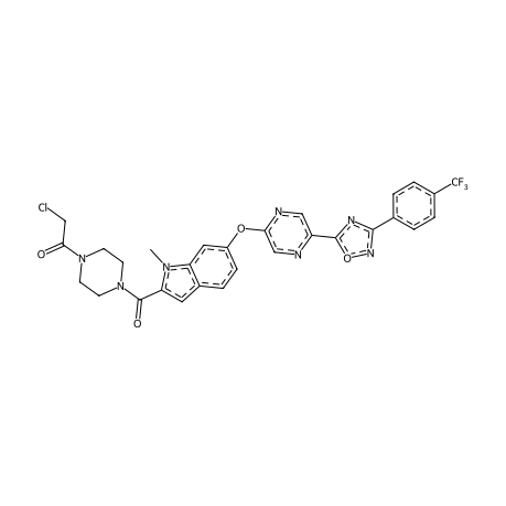 Cn1c(C(=O)N2CCN(C(=O)CCl)CC2)cc2ccc(Oc3cnc(-c4nc(-c5ccc(C(F)(F)F)cc5)no4)cn3)cc21